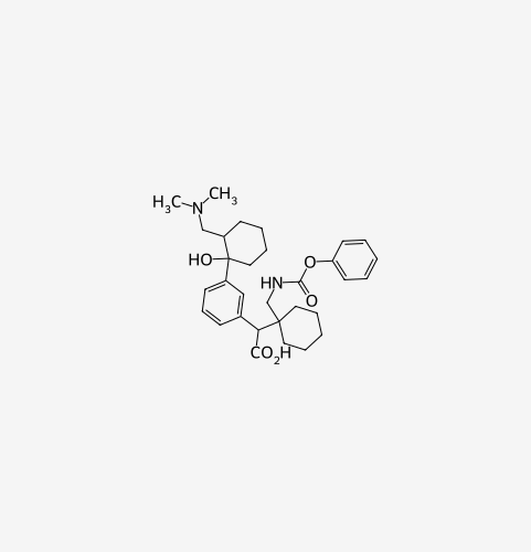 CN(C)CC1CCCCC1(O)c1cccc(C(C(=O)O)C2(CNC(=O)Oc3ccccc3)CCCCC2)c1